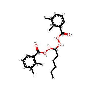 [CH2]CCCC[C](OOC(=O)c1cccc(C)c1C)OOC(=O)c1cccc(C)c1C